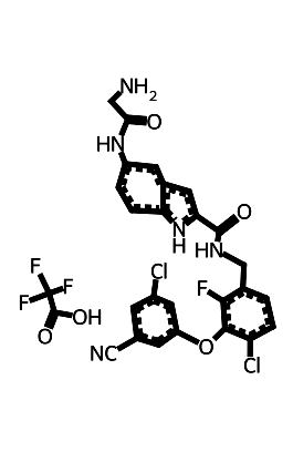 N#Cc1cc(Cl)cc(Oc2c(Cl)ccc(CNC(=O)c3cc4cc(NC(=O)CN)ccc4[nH]3)c2F)c1.O=C(O)C(F)(F)F